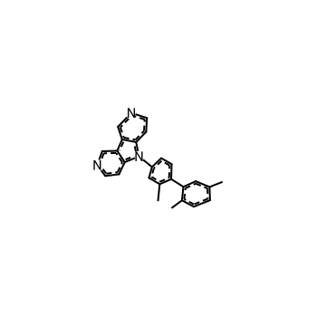 Cc1ccc(C)c(-c2ccc(-n3c4ccncc4c4cnccc43)cc2C)c1